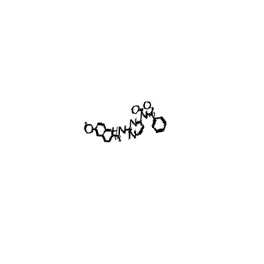 COc1ccc2cc([C@H](C)Nc3nccc(N4C(=O)OC[C@H]4c4ccccc4)n3)ccc2c1